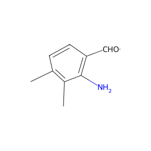 Cc1ccc([C]=O)c(N)c1C